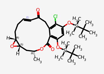 C[C@@H]1C[C@@H]2O[C@@H]2CC/C=C/C(=O)Cc2c(Cl)c(O[Si](C)(C)C(C)(C)C)cc(O[Si](C)(C)C(C)(C)C)c2C(=O)O1